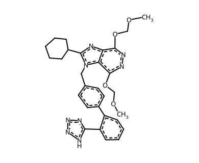 COCOc1nnc(OCOC)c2c1nc(C1CCCCC1)n2Cc1ccc(-c2ccccc2-c2nnn[nH]2)cc1